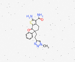 Cn1cc(CCC2(c3ccccc3)CCc3c(sc(N)c3C(N)=O)C2=O)nn1